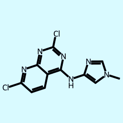 Cn1cnc(Nc2nc(Cl)nc3nc(Cl)ccc23)c1